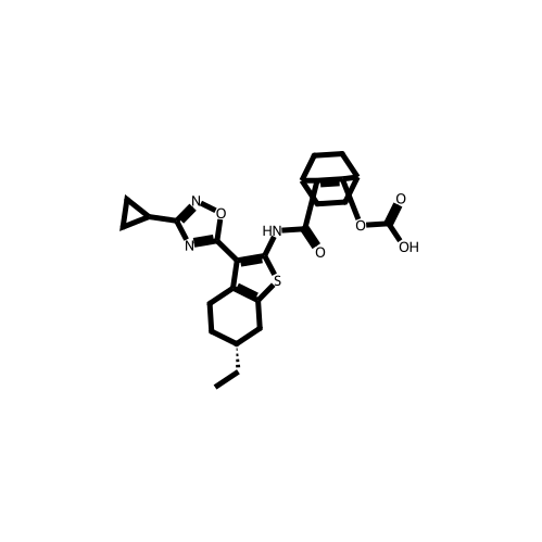 CC[C@@H]1CCc2c(sc(NC(=O)C3=C(OC(=O)O)C4CCC3CC4)c2-c2nc(C3CC3)no2)C1